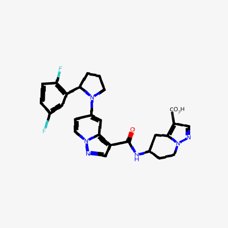 O=C(O)c1cnn2c1CC(NC(=O)c1cnn3ccc(N4CCCC4c4cc(F)ccc4F)cc13)CC2